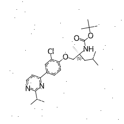 CC(C)C[C@@](C)(COc1ccc(-c2ccnc(C(C)C)n2)cc1Cl)NC(=O)OC(C)(C)C